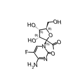 CC(=O)[C@@]1(n2cc(F)c(N)nc2=O)O[C@H](CO)[C@@H](O)[C@H]1O